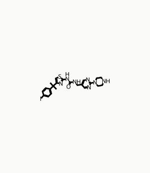 CC(C)(c1ccc(I)cc1)c1csc(NC(=O)NCc2cnc(N3CCNCC3)nc2)n1